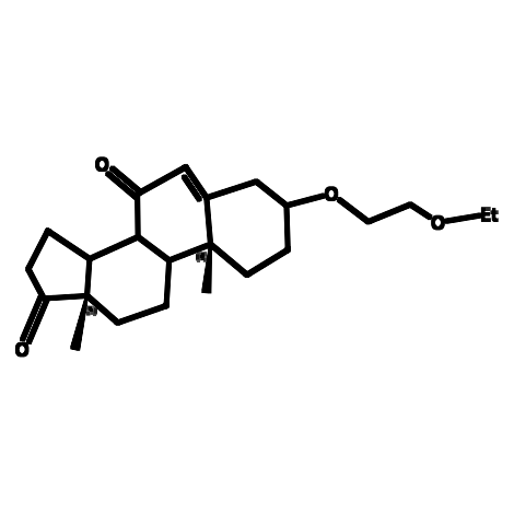 CCOCCOC1CC[C@@]2(C)C(=CC(=O)C3C2CC[C@]2(C)C(=O)CCC32)C1